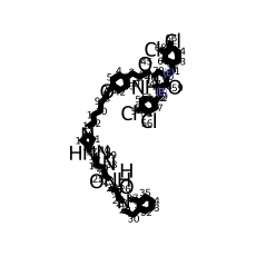 NC(Cc1ccc(OCCCCCCN2CC(Nc3cc(C(=O)NC[C@H](O)CN4CCc5ccccc5C4)ncn3)C2)cc1)C(=O)N1C/C(=C\c2ccc(Cl)c(Cl)c2)C(=O)/C(=C/c2ccc(Cl)c(Cl)c2)C1